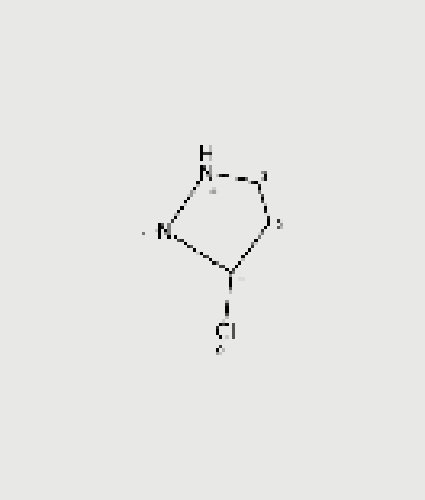 ClC1CCN[N]1